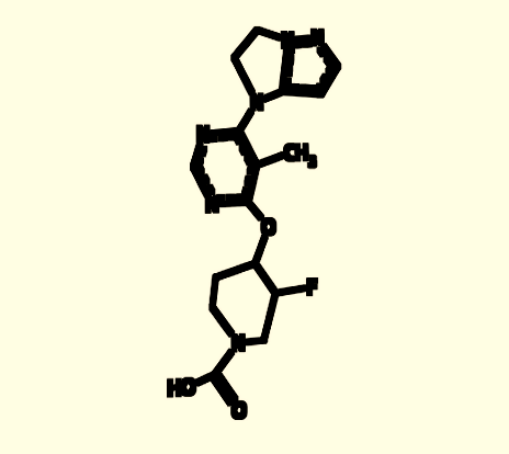 Cc1c(OC2CCN(C(=O)O)CC2F)ncnc1N1CCn2nccc21